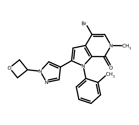 Cc1ccccc1-n1c(-c2cnn(C3COC3)c2)cc2c(Br)cn(C)c(=O)c21